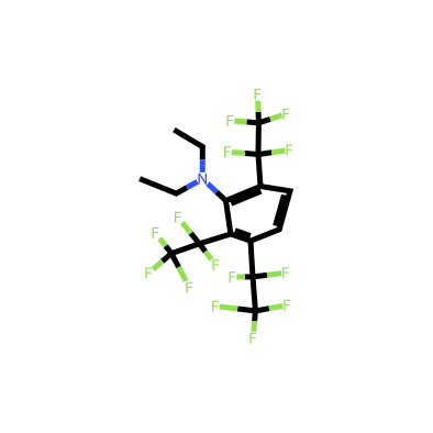 CCN(CC)c1c(C(F)(F)C(F)(F)F)ccc(C(F)(F)C(F)(F)F)c1C(F)(F)C(F)(F)F